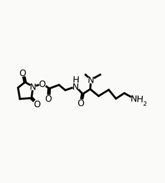 CN(C)C(CCCCN)C(=O)NCCC(=O)ON1C(=O)CCC1=O